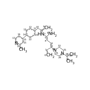 C=C/C(=C\C=C(/N)NC(=C)Cc1ccc(-c2ccnc(C)c2)cc1)N1CCN(C(=C)C)CC1